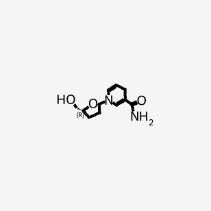 NC(=O)C1=CN(C2CC[C@H](CO)O2)C=CC1